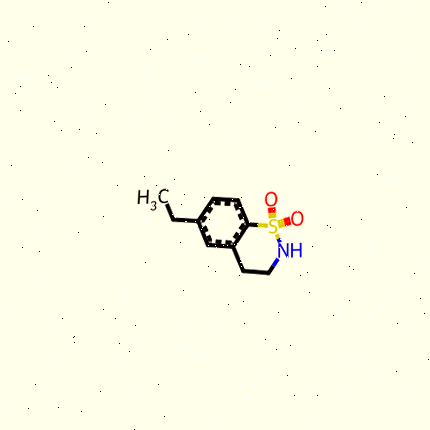 CCc1ccc2c(c1)CCNS2(=O)=O